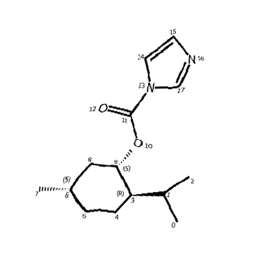 CC(C)[C@H]1CC[C@H](C)C[C@@H]1OC(=O)n1ccnc1